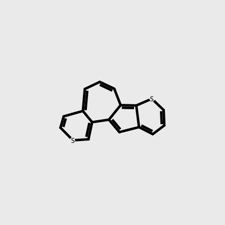 C1=Cc2cccc3c(cc4cccsc43)c2=CS1